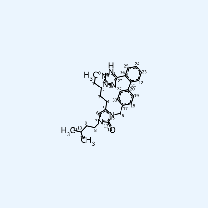 CCCCCc1cn(CCC(C)C)c(=O)n1Cc1ccc(-c2ccccc2-c2nnn[nH]2)cc1